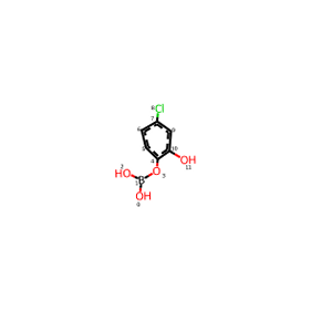 OB(O)Oc1ccc(Cl)cc1O